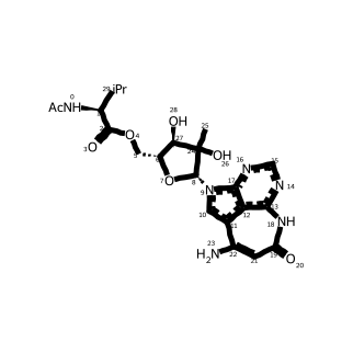 CC(=O)N[C@H](C(=O)OC[C@H]1O[C@@H](n2cc3c4c(ncnc42)NC(=O)C=C3N)C(C)(O)[C@@H]1O)C(C)C